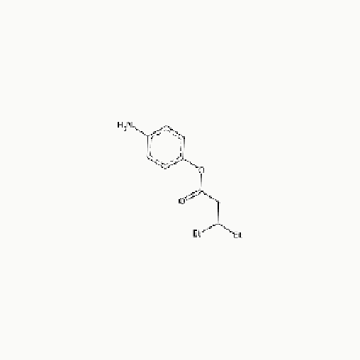 CCC(CC)CC(=O)Oc1ccc(N)cc1